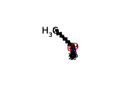 CCCCCCCCCCCCS(=O)(=O)[N]Cc1ccccc1